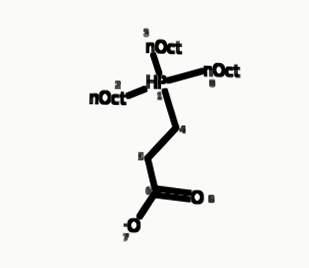 CCCCCCCC[PH](CCCCCCCC)(CCCCCCCC)CCC([O])=O